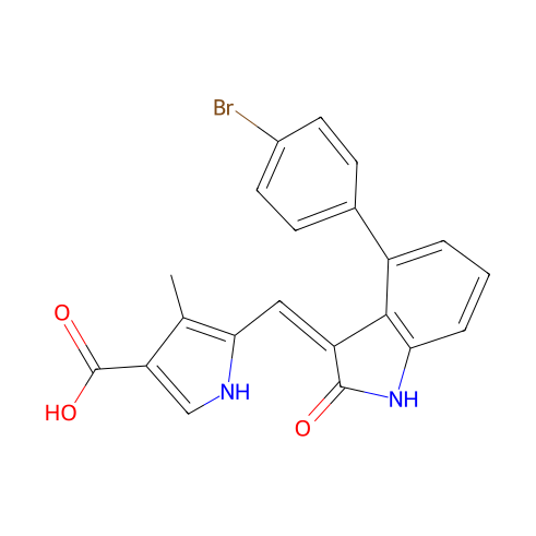 Cc1c(C(=O)O)c[nH]c1C=C1C(=O)Nc2cccc(-c3ccc(Br)cc3)c21